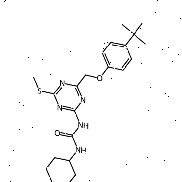 CSc1nc(COc2ccc(C(C)(C)C)cc2)nc(NC(=O)NC2CCCCC2)n1